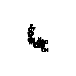 O=C1C[C@H]2Cc3c(-c4noc(-c5ccc(OC(F)F)cc5)n4)cccc3[C@H]2N1CCO